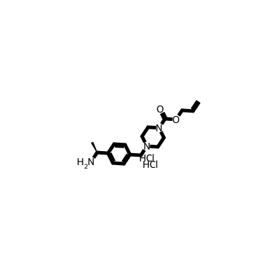 C=CCOC(=O)N1CCN(Cc2ccc([C@H](C)N)cc2)CC1.Cl.Cl